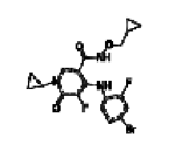 O=C(NOCC1CC1)c1cn(C2CC2)c(=O)c(F)c1Nc1ccc(Br)cc1F